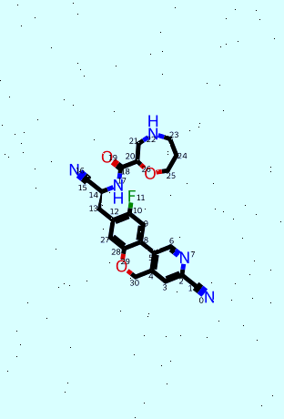 N#Cc1cc2c(cn1)-c1cc(F)c(C[C@@H](C#N)NC(=O)C3CNCCCO3)cc1OC2